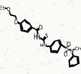 CCOCCOc1ccc(C(=O)NC(=S)Nc2ccc(S(=O)(=O)N(C)c3ccccc3)cc2)cc1